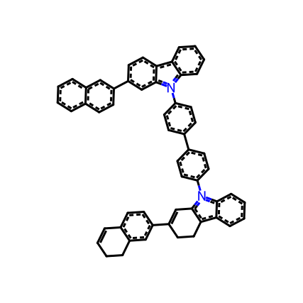 C1=Cc2ccc(C3=Cc4c(c5ccccc5n4-c4ccc(-c5ccc(-n6c7ccccc7c7ccc(-c8ccc9ccccc9c8)cc76)cc5)cc4)CC3)cc2CC1